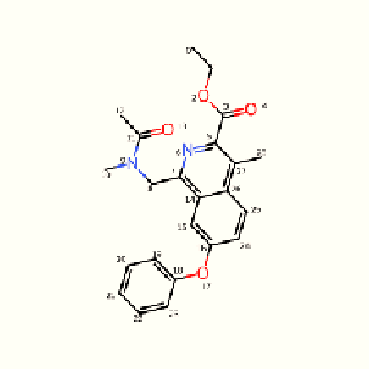 CCOC(=O)c1nc(CN(C)C(C)=O)c2cc(Oc3ccccc3)ccc2c1C